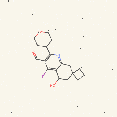 O=Cc1c(C2CCOCC2)nc2c(c1I)C(O)CC1(CCC1)C2